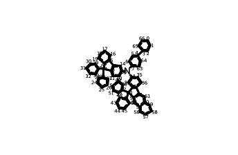 c1ccc(-c2ccc(N(c3ccc4c(c3)-c3ccccc3C4(c3ccccc3)c3ccccc3)c3ccc4c(c3)C(c3ccccc3)(c3ccccc3)c3cc5ccccc5cc3-4)cc2)cc1